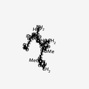 C=C1C[C@H]2C=Nc3cc(OCCCCCOc4cc5c(cc4OC)C(=O)N4CC(=C)C(O)[C@@H]4CN5C(=O)OCc4ccc(NC(=O)[C@H](CCCNC(N)=O)n5cc([C@@H](NC(=O)CCCCCN6C(=O)C=CC6=O)C(C)C)nn5)cc4)c(OC)cc3C(=O)N2C1